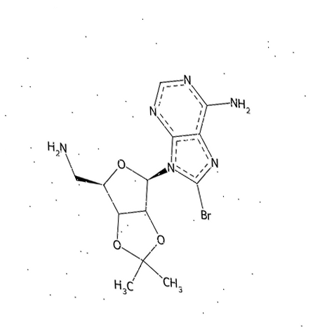 CC1(C)OC2C(O1)[C@@H](CN)O[C@H]2n1c(Br)nc2c(N)ncnc21